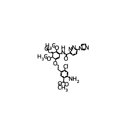 COC(=O)c1cc(CCOC2=CC(NC(=O)c3ccc(-n4ccnc4)nn3)=C(OC)C(=C=O)C2OC)c(Cl)cc1N